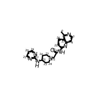 Cc1nccc2nc(NC(=O)CN3CCC(Nc4ncccn4)CC3)ccc12